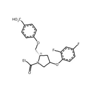 CCC(=O)N1CC(Oc2ccc(F)cc2F)C[C@H]1COc1ccc(C(=O)O)cc1